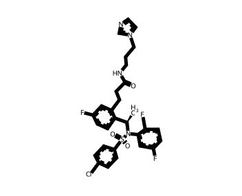 C[C@H](c1ccc(F)cc1CCC(=O)NCCCn1ccnc1)N(c1cc(F)ccc1F)S(=O)(=O)c1ccc(Cl)cc1